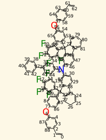 C=Cc1ccc(Oc2ccc(C3(c4cc(F)c(F)c(F)c4F)C4=C(C=CCC4)c4ccc(N(c5ccc(-c6ccccc6)cc5)c5ccc6c(c5)C(c5ccc(Oc7ccc(C=C)cc7)cc5)(c5cc(F)c(F)c(F)c5F)c5ccccc5-6)cc43)cc2)cc1